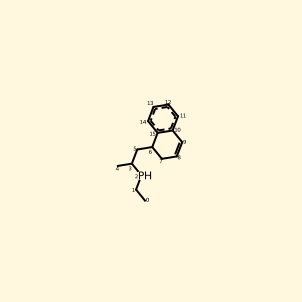 CCPC(C)CC1CC=Cc2ccccc21